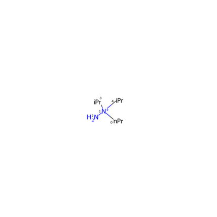 CCC[N+](N)(C(C)C)C(C)C